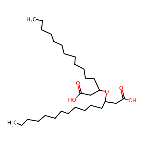 CCCCCCCCCCCCC(CC(=O)O)OC(CCCCCCCCCCCC)CC(=O)O